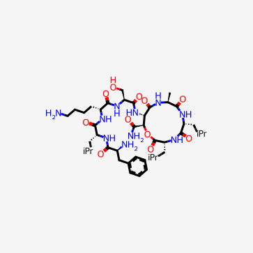 CC(C)C[C@H]1NC(=O)[C@H](C)NC(=O)[C@@H](NC(=O)[C@H](CO)NC(=O)[C@@H](CCCCN)NC(=O)[C@@H](CC(C)C)NC(=O)[C@@H](N)Cc2ccccc2)[C@H](C(N)=O)OC(=O)[C@@H](CC(C)C)NC1=O